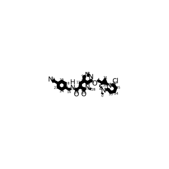 CN(SC1(COc2nncc3cc(C(=O)NCc4ccc(C#N)cc4)c(=O)n(C)c23)CC1)c1cccc(Cl)n1